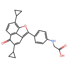 O=C(O)CNc1ccc(-c2oc3c(C4CC4)ccc4c3c2C=C(C2CC2)C4=O)cc1